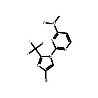 C[S+]([O-])c1ccnc(-n2cc(Br)nc2C(F)(F)F)n1